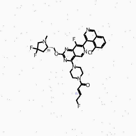 CN1CC(F)(F)C[C@H]1COc1nc(N2CCN(C(=O)/C=C/CF)CC2)c2cnc(-c3cncc4cccc(Cl)c34)c(F)c2n1